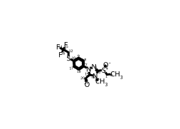 CC[S+]([O-])C1=NN(c2ccc(SCC(F)(F)F)cc2)C(C=O)N1C